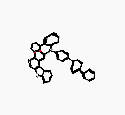 c1ccc(-c2ccc(-c3ccc(N(c4ccc5ncc6oc7ccccc7c6c5c4)c4ccccc4-c4ccccc4)cc3)cc2)cc1